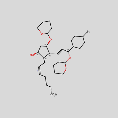 CCC1CCC([C@@H](/C=C/[C@@H]2[C@@H](C/C=C\CCCC(=O)O)[C@@H](O)C[C@H]2OC2CCCCO2)OC2CCCCO2)CC1